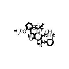 CNC(F)c1c(-c2onc(-c3c(F)cccc3OC)c2/N=C(\OC)C(F)(F)F)cnn1-c1cccc(F)c1